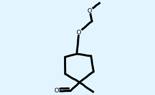 COCOC1CCC(C)(C=O)CC1